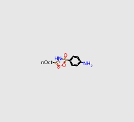 CCCCCCCC[S+]([O-])NS(=O)(=O)c1ccc(N)cc1